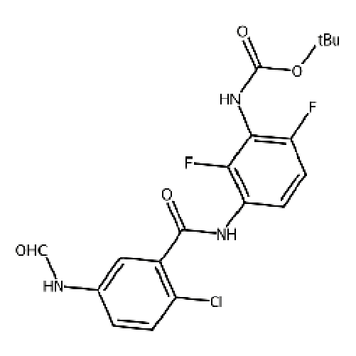 CC(C)(C)OC(=O)Nc1c(F)ccc(NC(=O)c2cc(NC=O)ccc2Cl)c1F